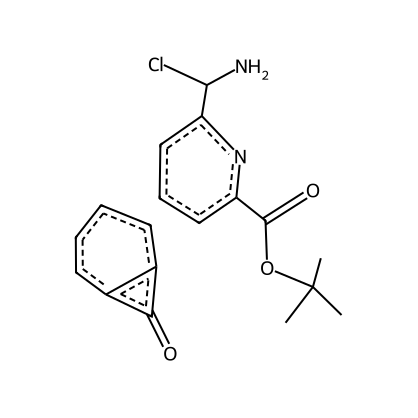 CC(C)(C)OC(=O)c1cccc(C(N)Cl)n1.O=c1c2ccccc12